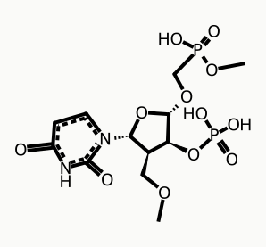 COC[C@@H]1[C@H](OP(=O)(O)O)[C@@H](OCP(=O)(O)OC)O[C@H]1n1ccc(=O)[nH]c1=O